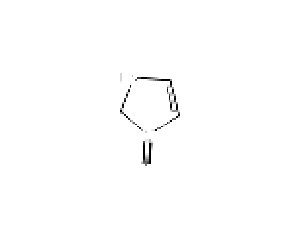 S=S1C=CNC1